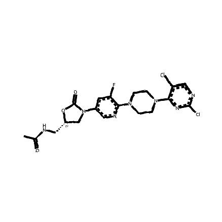 CC(=O)NC[C@H]1CN(c2cnc(N3CCN(c4nc(Cl)ncc4Cl)CC3)c(F)c2)C(=O)O1